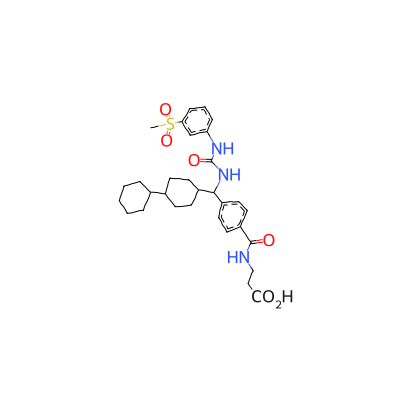 CS(=O)(=O)c1cccc(NC(=O)NC(c2ccc(C(=O)NCCC(=O)O)cc2)C2CCC(C3CCCCC3)CC2)c1